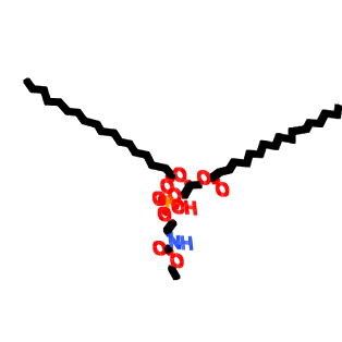 CCCCCCCCCCCCCCCCCC(=O)OCC(COP(=O)(O)OCCNC(=O)OCC)OC(=O)CCCCCCCCCCCCCCCCC